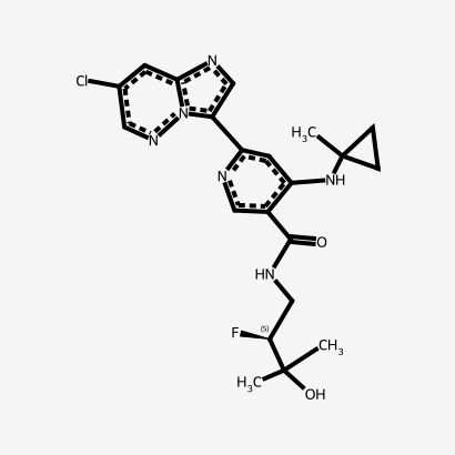 CC1(Nc2cc(-c3cnc4cc(Cl)cnn34)ncc2C(=O)NC[C@H](F)C(C)(C)O)CC1